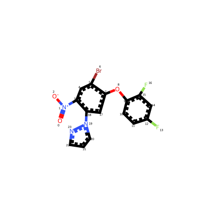 O=[N+]([O-])c1cc(Br)c(Oc2ccc(F)cc2F)cc1-n1cccn1